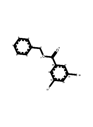 O=C(OCc1ccccc1)c1cc(I)cc(I)c1